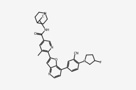 Cc1cc(C(=O)NC2CN3CCC2CC3)cnc1-c1cc2nccc(-c3ccc(N4CCC(F)C4)c(C#N)c3)c2o1